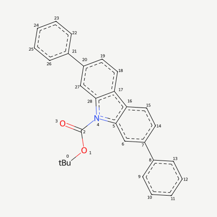 CC(C)(C)OC(=O)n1c2cc(-c3ccccc3)ccc2c2ccc(-c3ccccc3)cc21